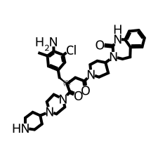 Cc1cc(C[C@@H](CC(=O)N2CCC(N3CCc4ccccc4NC3=O)CC2)C(=O)N2CCN(C3CCNCC3)CC2)cc(Cl)c1N